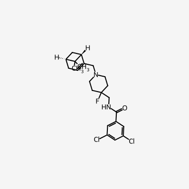 CC1(C)[C@H]2CC=C(CN3CCC(F)(CNC(=O)c4cc(Cl)cc(Cl)c4)CC3)[C@H]1C2